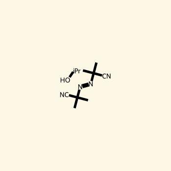 CC(C)(C#N)N=NC(C)(C)C#N.CC(C)O